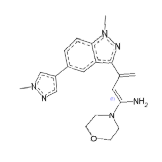 C=C(/C=C(\N)N1CCOCC1)c1nn(C)c2ccc(-c3cnn(C)c3)cc12